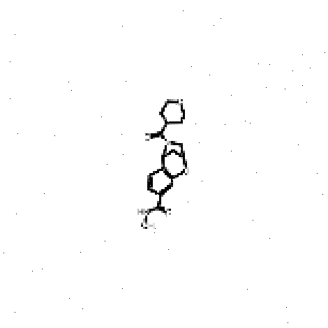 O=C(NO)c1ccc2c(c1)OC1CC2N(C(=O)C2CCOCC2)C1